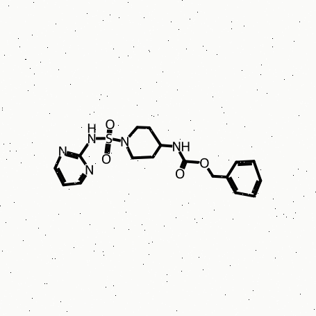 O=C(NC1CCN(S(=O)(=O)Nc2ncccn2)CC1)OCc1ccccc1